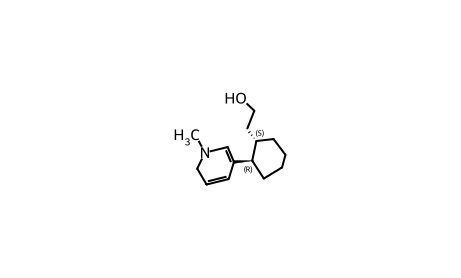 CN1C=C([C@@H]2CCCC[C@H]2CCO)C=CC1